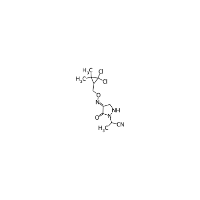 CC(C#N)N1NCC(=NOCC2C(C)(C)C2(Cl)Cl)C1=O